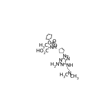 CC(N[P@](=O)(OC[C@@H]1C=C[C@H](n2cnc3c(NCCN(C)C)nc(N)nc32)C1)Oc1ccccc1)C(=O)O